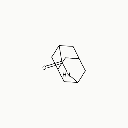 O=C1NC2CC3CC(C2)CC1C3